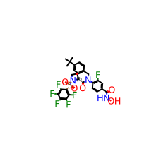 CC(C)(C)c1ccc(CN(C(=O)[C@H]2CCN2S(=O)(=O)c2c(F)c(F)c(F)c(F)c2F)c2ccc(C(=O)NO)cc2F)cc1